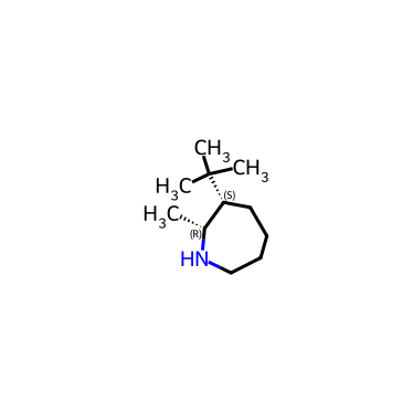 C[C@H]1NCCCC[C@H]1C(C)(C)C